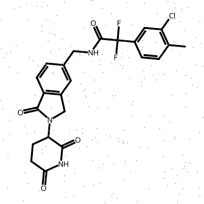 Cc1ccc(C(F)(F)C(=O)NCc2ccc3c(c2)CN(C2CCC(=O)NC2=O)C3=O)cc1Cl